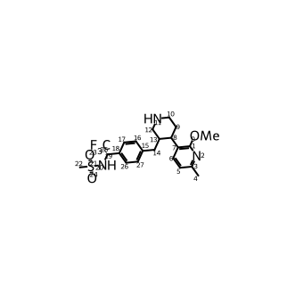 COc1nc(C)ccc1C1CCNCC1Cc1ccc([C@H](NS(C)(=O)=O)C(F)(F)F)cc1